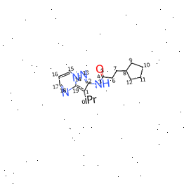 CC(C)c1c(NC(=O)CCC2CCCC2)nn2cccnc12